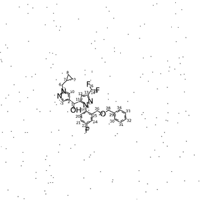 OC(c1cnn(CC2CC2)c1)c1cc(C(F)F)nn1-c1ccc(F)cc1COCc1ccccc1